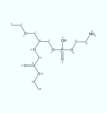 CCOCC(COP(=O)(O)OCCN)OCC(=O)OCC